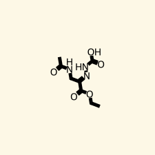 CCOC(=O)C(CNC(C)=O)=NNC(=O)O